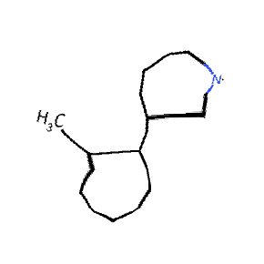 CC1CCCC1C1CC[N]C1